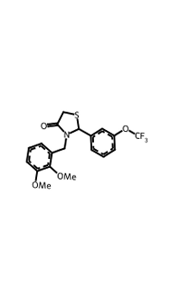 COc1cccc(CN2C(=O)CSC2c2cccc(OC(F)(F)F)c2)c1OC